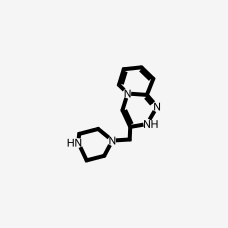 C1=CC2=NNC(CN3CCNCC3)=CN2C=C1